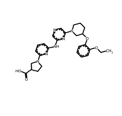 CCOc1ccccc1OC1CCCN(c2cncc(Nc3cccc(N4CCC(C(=O)O)C4)n3)n2)C1